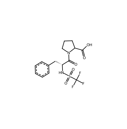 O=C(O)C1CCCN1C(=O)[C@@H](Cc1ccccc1)NS(=O)(=O)C(F)(F)F